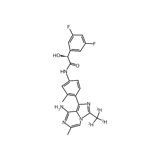 [2H]C([2H])([2H])c1nc(-c2ccc(NC(=O)[C@@H](O)c3cc(F)cc(F)c3)cc2C)c2c(N)nc(C)cn12